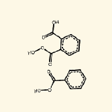 O=C(O)c1ccccc1C(=O)OO.O=C(OO)c1ccccc1